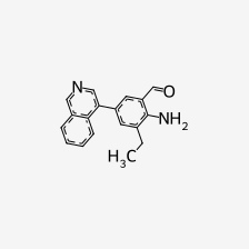 CCc1cc(-c2cncc3ccccc23)cc(C=O)c1N